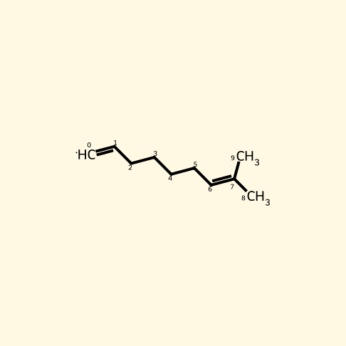 [CH]=CCCCCC=C(C)C